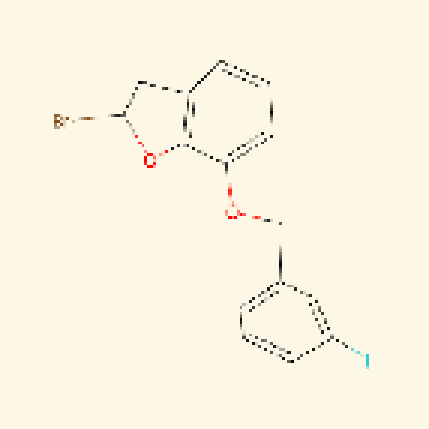 Fc1cccc(COc2cccc3c2OC(Br)C3)c1